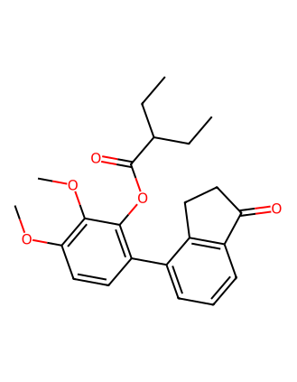 CCC(CC)C(=O)Oc1c(-c2cccc3c2CCC3=O)ccc(OC)c1OC